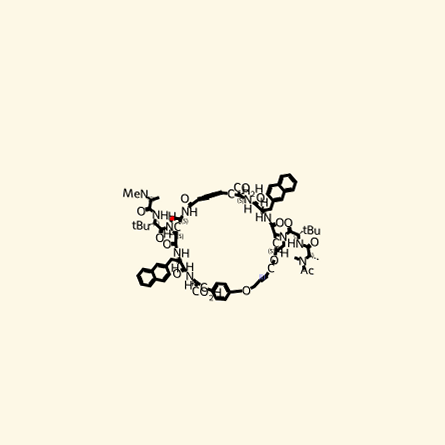 CN[C@@H](C)C(=O)N[C@H](C(=O)N1C[C@@H]2C[C@H]1C(=O)N[C@@H](Cc1ccc3ccccc3c1)C(=O)N[C@H](C(=O)O)Cc1ccc(cc1)OC/C=C/CO[C@H]1CC(C(=O)N[C@@H](Cc3ccc4ccccc4c3)C(=O)N[C@H](C(=O)O)Cc3ccc(cc3)C(=O)N2)N(C(=O)[C@@H](NC(=O)[C@H](C)N(C)C(C)=O)C(C)(C)C)C1)C(C)(C)C